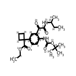 CCOC(=O)C1(c2ccc(NC(=O)OC(C)(C)C)c(C(=O)C(=O)NC(C)CC)c2)CCC1